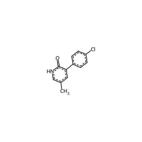 Cc1c[nH]c(=O)c(-c2ccc(Cl)cc2)c1